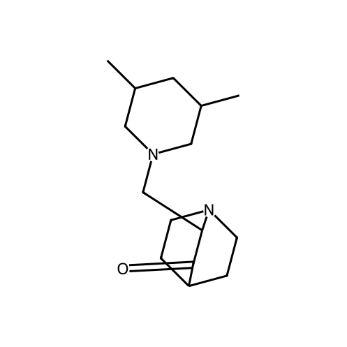 CC1CC(C)CN(CC2C(=O)C3CCN2CC3)C1